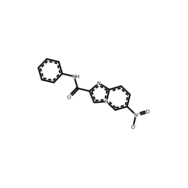 O=C(Nc1ccccc1)c1cn2cc([N+](=O)[O-])ccc2n1